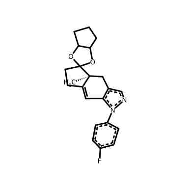 C[C@]12Cc3cnn(-c4ccc(F)cc4)c3C=C1CCC21OC2CCCC2O1